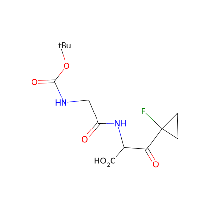 CC(C)(C)OC(=O)NCC(=O)NC(C(=O)O)C(=O)C1(F)CC1